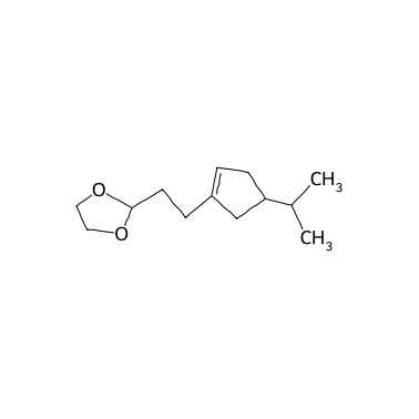 CC(C)C1CC=C(CCC2OCCO2)C1